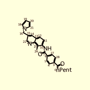 CCCCCC(=O)c1ccc(C(=O)Nc2ccc3cc(Cn4cccc4)cnc3c2C)cc1